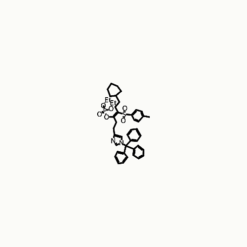 CCOP(=O)(OCC)OC(CCc1cn(C(c2ccccc2)(c2ccccc2)c2ccccc2)cn1)=C(CCC1CCCCC1)S(=O)(=O)c1ccc(C)cc1